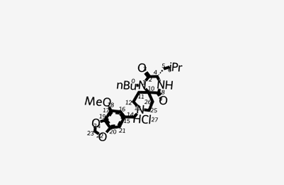 CCCCN1C(=O)[C@H](CC(C)C)NC(=O)C12CCN(Cc1cc(OC)c3c(c1)OCO3)CC2.Cl